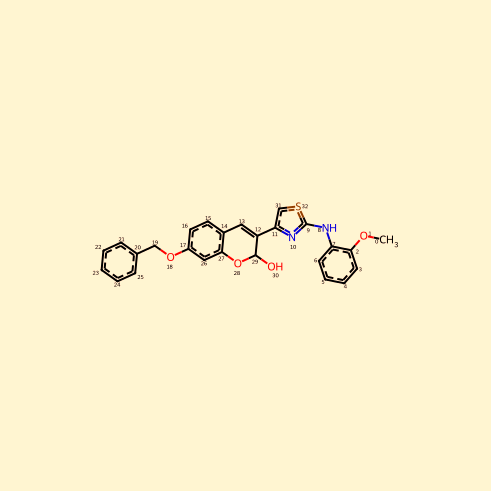 COc1ccccc1Nc1nc(C2=Cc3ccc(OCc4ccccc4)cc3OC2O)cs1